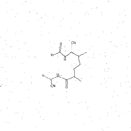 CCC(C#N)NC(=O)C(C)CCC(C)[C@@H](C#N)NC(=O)C(C)C